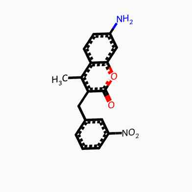 Cc1c(Cc2cccc([N+](=O)[O-])c2)c(=O)oc2cc(N)ccc12